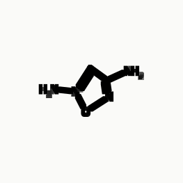 Nc1c[n+](N)on1